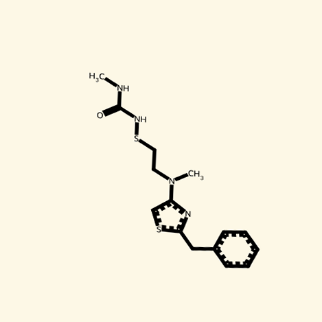 CNC(=O)NSCCN(C)c1csc(Cc2ccccc2)n1